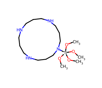 C[O][Ti]([O]C)([O]C)([O]C)[N]1CCCNCCCNCCCNCCC1